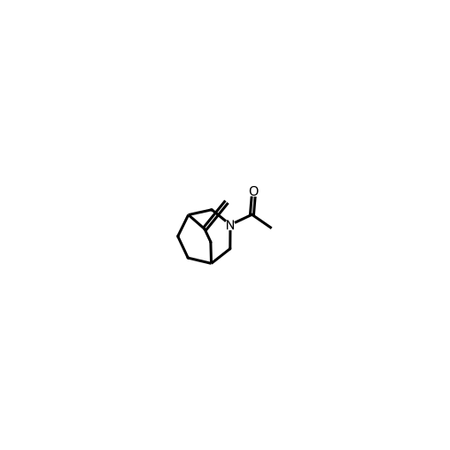 C=C1CC2CCC1CN(C(C)=O)C2